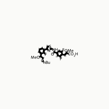 CCCCOCC(OC)c1cccc(-c2csc(NC(=O)c3cc(F)c(/C=C(\OC)C(=O)O)c(F)c3)n2)c1F